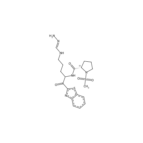 CS(=O)(=O)N1CCC[C@H]1C(=O)NC(CCCNC=NN)C(=O)c1nc2ccccc2s1